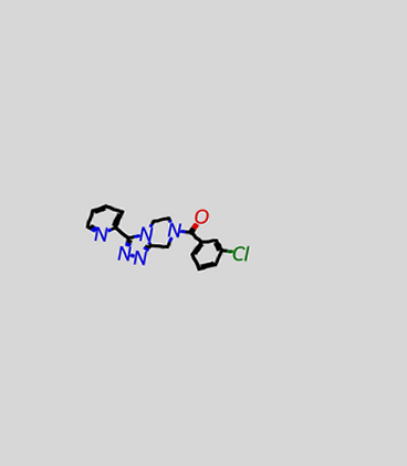 O=C(c1cccc(Cl)c1)N1CCn2c(nnc2-c2ccccn2)C1